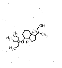 CC[Si](CC)(CC)O[C@H]1CCC[C@]2(C)[C@@H]([C@H](C)CO)CC[C@@H]12